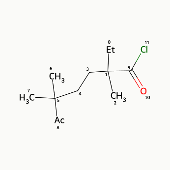 CCC(C)(CCC(C)(C)C(C)=O)C(=O)Cl